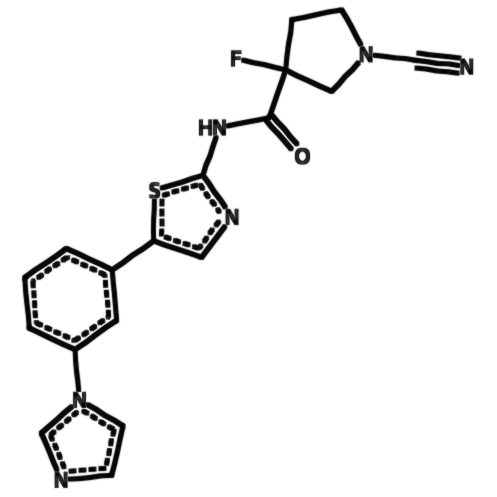 N#CN1CCC(F)(C(=O)Nc2ncc(-c3cccc(-n4ccnc4)c3)s2)C1